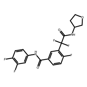 O=C(Nc1ccc(F)c(F)c1)c1ccc(F)c(C(F)(F)C(=O)NC2CCOC2)c1